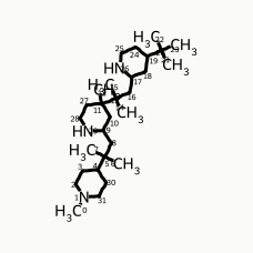 CN1CCC(C(C)(C)CC2CC(C)(C(C)(C)CC3CC(C(C)(C)C)CCN3)CCN2)CC1